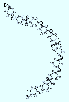 O=S(=O)(c1ccc(Oc2ccc(Br)cc2)cc1)c1ccc(Oc2cccc(Oc3ccc(S(=O)(=O)c4ccc(Oc5cccc(Oc6ccc(S(=O)(=O)c7ccc(Oc8cccc(Br)c8)cc7)cc6)c5)cc4)cc3)c2)cc1